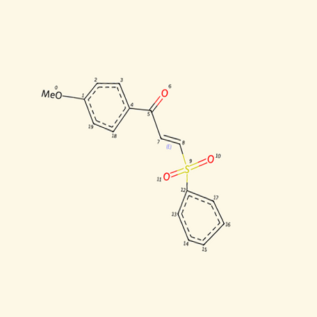 COc1ccc(C(=O)/C=C/S(=O)(=O)c2ccccc2)cc1